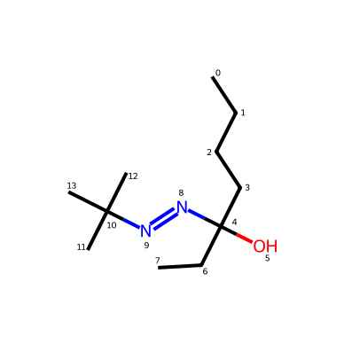 CCCCC(O)(CC)N=NC(C)(C)C